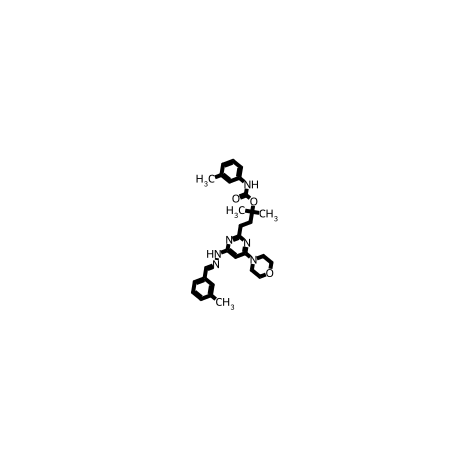 Cc1cccc(C=NNc2cc(N3CCOCC3)nc(CCC(C)(C)OC(=O)Nc3cccc(C)c3)n2)c1